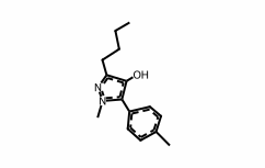 CCCCc1nn(C)c(-c2ccc(C)cc2)c1O